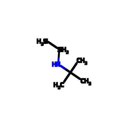 CC(C)(C)N[SiH2][SiH3]